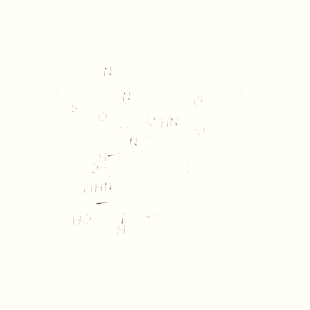 O=C(N[C@@H]1CCCCC/C=C\[C@@H]2C[C@]2(C(=O)O)NC(=O)[C@@H]2C[C@H](Oc3nc4ccccc4nc3C3=CCCS3)CN2C1=O)OC1CCCC1